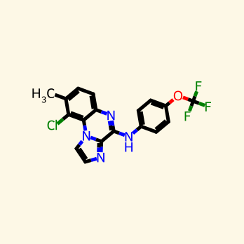 Cc1ccc2nc(Nc3ccc(OC(F)(F)F)cc3)c3nccn3c2c1Cl